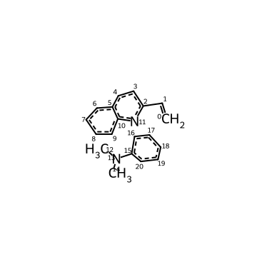 C=Cc1ccc2ccccc2n1.CN(C)c1ccccc1